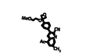 COCCOC1(c2ccc(-c3cc4c(C(C)=O)cc(C)cc4nc3C#N)cc2)COC1